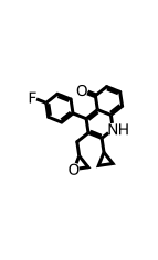 O=c1cccc2[nH]c(C3CC3)c(CC3CO3)c(-c3ccc(F)cc3)c1-2